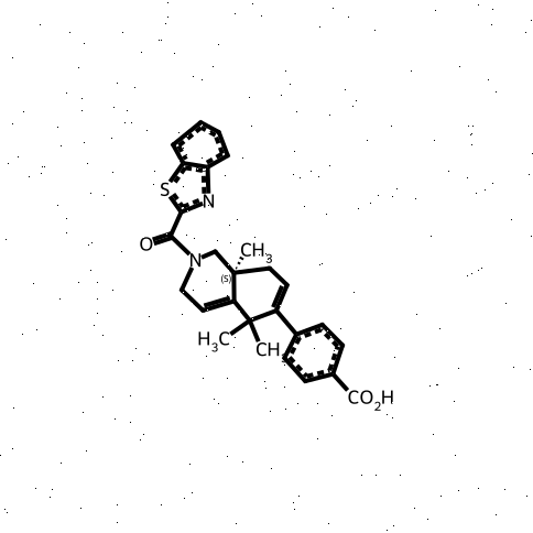 CC1(C)C(c2ccc(C(=O)O)cc2)=CC[C@]2(C)CN(C(=O)c3nc4ccccc4s3)CC=C12